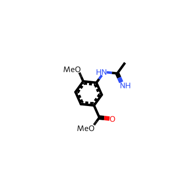 COC(=O)c1ccc(OC)c(NC(C)=N)c1